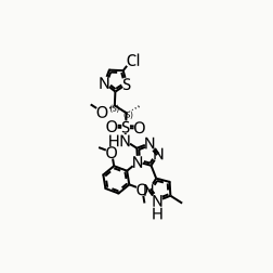 COc1cccc(OC)c1-n1c(NS(=O)(=O)[C@@H](C)[C@H](OC)c2ncc(Cl)s2)nnc1-c1cc(C)[nH]n1